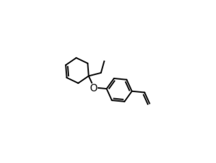 C=Cc1ccc(OC2(CC)CC=CCC2)cc1